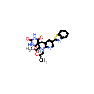 C[C@@H]1CN2c3ncc(-c4nc5ccccc5s4)cc3CC3(C(=O)NC(=O)NC3=O)[C@H]2[C@H](C)O1